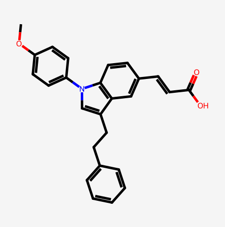 COc1ccc(-n2cc(CCc3ccccc3)c3cc(C=CC(=O)O)ccc32)cc1